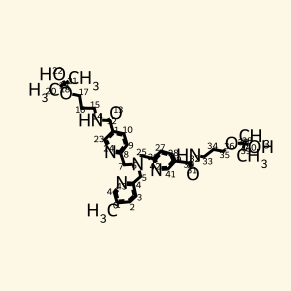 Cc1ccc(CN(Cc2ccc(C(=O)NCCCOC(C)(C)O)cn2)Cc2ccc(C(=O)NCCCOC(C)(C)O)cn2)nc1